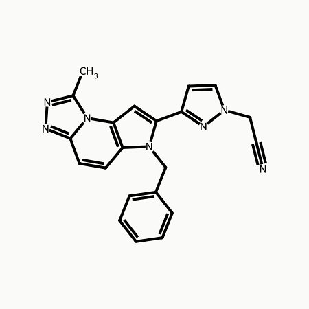 Cc1nnc2ccc3c(cc(-c4ccn(CC#N)n4)n3Cc3ccccc3)n12